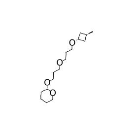 C[C@H]1C[C@H](OCCCOCCCOC2CCCCO2)C1